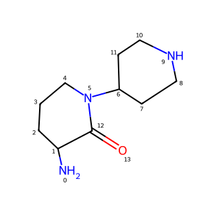 NC1CCCN(C2CCNCC2)C1=O